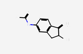 C=C(C)Nc1ccc2c(c1)CC(C)C2=C